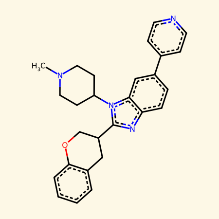 CN1CCC(n2c(C3COc4ccccc4C3)nc3ccc(-c4ccncc4)cc32)CC1